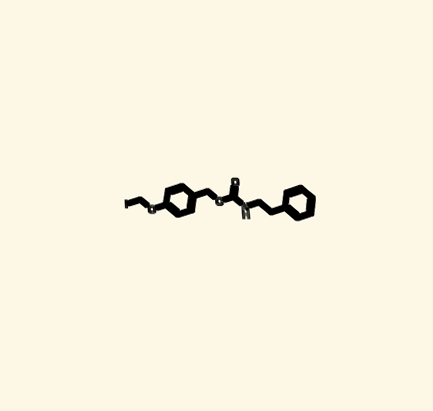 O=C(NCCc1ccccc1)OCc1ccc(OCI)cc1